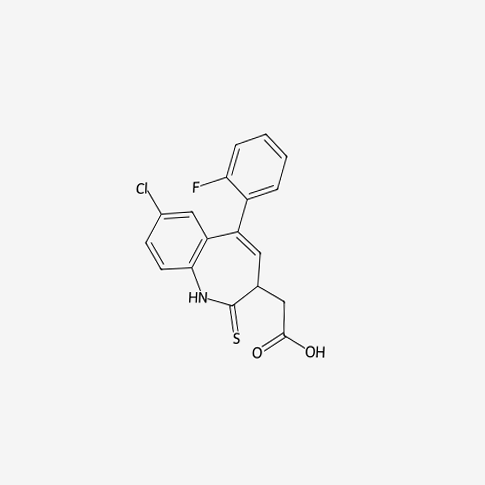 O=C(O)CC1C=C(c2ccccc2F)c2cc(Cl)ccc2NC1=S